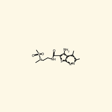 Cc1nnc2sc(C(=O)NCCN(C)S(C)(=O)=O)c(N)c2c1C